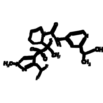 CC(O)c1cc(NC(=O)N2CCCCC2C(C)(F)S(=O)(=O)c2cn(C)nc2C(F)F)ccn1